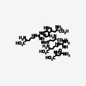 CSCC[C@H](N)C(=O)O.N=C(N)NCCC[C@H](N)C(=O)O.N=C(N)NCCC[C@H](N)C(=O)O.NC(=O)C[C@H](N)C(=O)O.N[C@@H](Cc1c[nH]c2ccccc12)C(=O)O